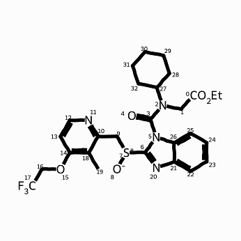 CCOC(=O)CN(C(=O)n1c([S+]([O-])Cc2nccc(OCC(F)(F)F)c2C)nc2ccccc21)C1CCCCC1